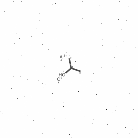 CC(C)O.[Al+3].[O-2]